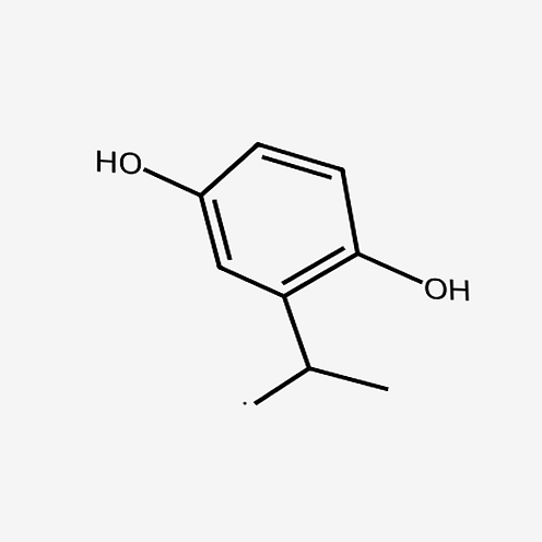 [CH2]C(C)c1cc(O)ccc1O